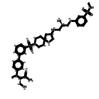 CNS(=O)(=O)c1cccc(OC[C@@H](O)CNC2COC3(CCN(S(=O)(=O)c4cccc(-c5ccc(N(C)[C@@H](CO)C(N)=O)cc5)c4)CC3)C2)c1